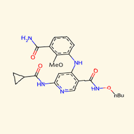 CCCCONC(=O)c1cnc(NC(=O)C2CC2)cc1Nc1cccc(C(N)=O)c1OC